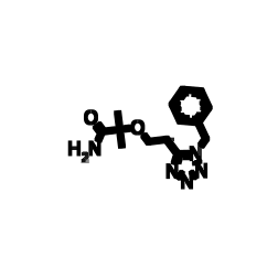 CC(C)(OC[CH]c1nnnn1Cc1ccccc1)C(N)=O